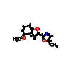 COc1cccc2oc(-c3ncc(C)o3)cc12